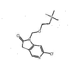 C[Si](C)(C)CCOCN1C(=O)Cc2cnc(Cl)cc21